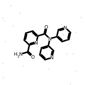 NC(=O)c1cccc(C(=O)N(c2cccnc2)c2cccnc2)n1